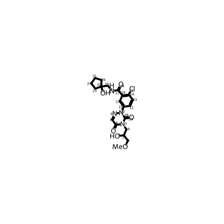 COCC(O)Cn1c(=O)cnn(-c2ccc(Cl)c(C(=O)NCC3(O)CCCC3)c2)c1=O